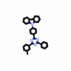 Cc1cccc(-c2nc(-c3ccccc3)nc(-c3ccc(-n4c5ccccc5c5ccccc54)cc3)n2)c1